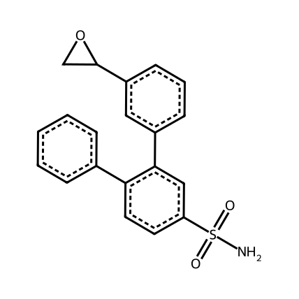 NS(=O)(=O)c1ccc(-c2ccccc2)c(-c2cccc(C3CO3)c2)c1